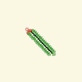 O=[SH](=O)OC(Br)(Br)C(Br)(Br)C(Br)(Br)C(Br)(Br)C(Br)(Br)C(Br)(Br)C(Br)(Br)C(Br)(Br)C(Br)(Br)C(Br)(Br)C(Br)(Br)C(Br)(Br)C(Br)(Br)C(Br)(Br)C(Br)(Br)C(Br)(Br)Br